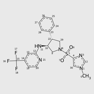 Cn1cnc(S(=O)(=O)N2C[C@@H](Nc3cc(C(F)(F)F)ccn3)[C@H](c3ccccc3)C2)c1